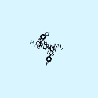 CC(C)(Oc1ccc(Cl)cc1)C(=O)N1CCN(c2nc(N)nc3sc(-c4ccc(F)cc4)nc23)CC1